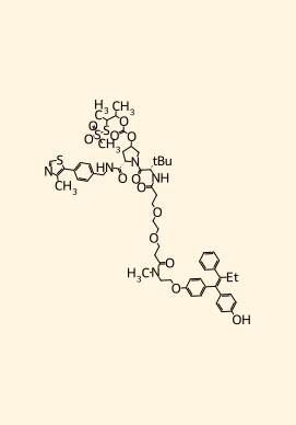 CC/C(=C(\c1ccc(O)cc1)c1ccc(OCCN(C)C(=O)CCOCCOCCC(=O)N[C@H](C(=O)N2CC(OC(=O)OC(C)C(C)SS(C)(=O)=O)C[C@H]2C(=O)NCc2ccc(-c3scnc3C)cc2)C(C)(C)C)cc1)c1ccccc1